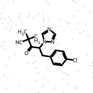 CC(C)(C#N)C(=O)C(Cc1ccc(Cl)cc1)n1cncn1